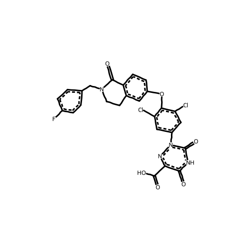 O=C(O)c1nn(-c2cc(Cl)c(Oc3ccc4c(c3)CCN(Cc3ccc(F)cc3)C4=O)c(Cl)c2)c(=O)[nH]c1=O